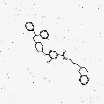 CCN(CCCNC(=O)c1ccc(OC2CCN(CC(c3ccccc3)c3ccccc3)CC2)c(Cl)c1)Cc1ccccc1